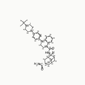 CC(C)(C)N1CCN(c2ccc(N3CCN(C(=O)N[C@H]4C5CC6CC4C[C@@](C(N)=O)(C6)C5)c4ccccc43)nc2)CC1